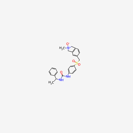 CC(NC(=O)Nc1ccc(S(=O)(=O)Cc2ccc3c(c2)C[N+](C)([O-])C3)cc1)c1ccccc1